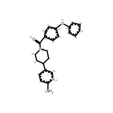 Nc1ccc(C2CCN(C(=O)c3ccc(Oc4ccccc4)cc3)CC2)cn1